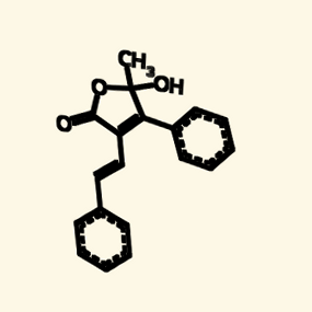 CC1(O)OC(=O)C(C=Cc2ccccc2)=C1c1ccccc1